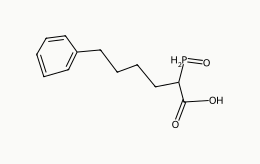 O=[PH2]C(CCCCc1ccccc1)C(=O)O